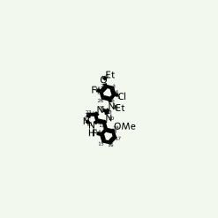 CCOc1cc(Cl)c(N(CC)c2nc(-c3c(F)cccc3OC)c3[nH]ncc3n2)cc1F